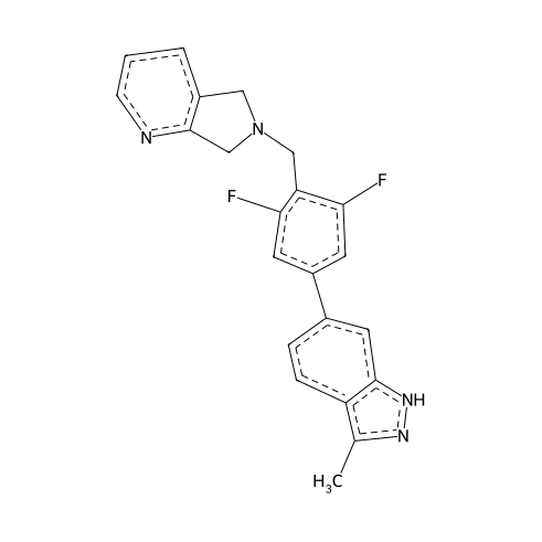 Cc1n[nH]c2cc(-c3cc(F)c(CN4Cc5cccnc5C4)c(F)c3)ccc12